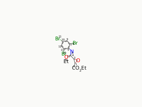 CCOC(=O)C1OC1C(=Nc1c(Br)cc(Br)cc1Br)OCC